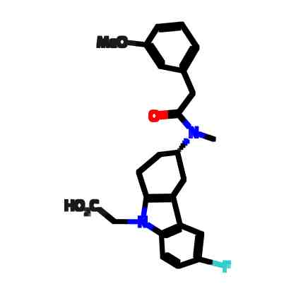 COc1cccc(CC(=O)N(C)[C@H]2CCc3c(c4cc(F)ccc4n3CC(=O)O)C2)c1